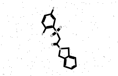 O=C(CS(=O)(=O)c1cc(F)ccc1F)N1Cc2ccccc2C1